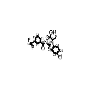 CC(C(=O)O)n1/c(=N/C(=O)c2cccc(C(F)(F)F)c2)sc2cc(Cl)ccc21